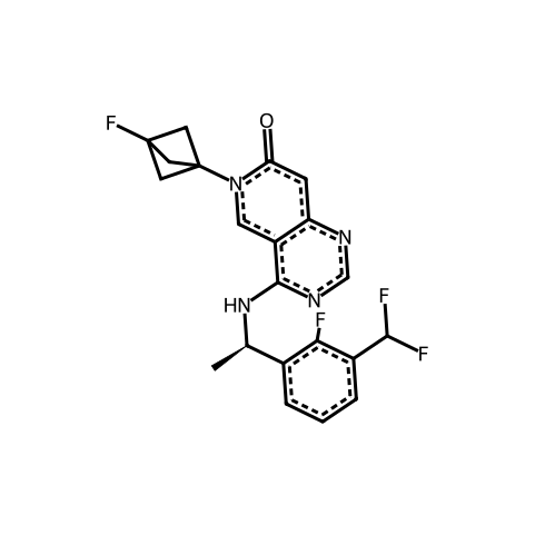 C[C@@H](Nc1ncnc2cc(=O)n(C34CC(F)(C3)C4)cc12)c1cccc(C(F)F)c1F